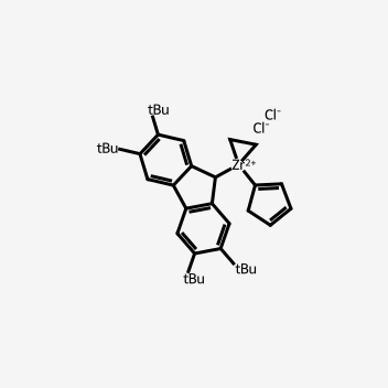 CC(C)(C)c1cc2c(cc1C(C)(C)C)[CH]([Zr+2]1([C]3=CC=CC3)[CH2][CH2]1)c1cc(C(C)(C)C)c(C(C)(C)C)cc1-2.[Cl-].[Cl-]